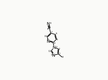 Cc1cn(-c2ccc(C#N)cn2)cn1